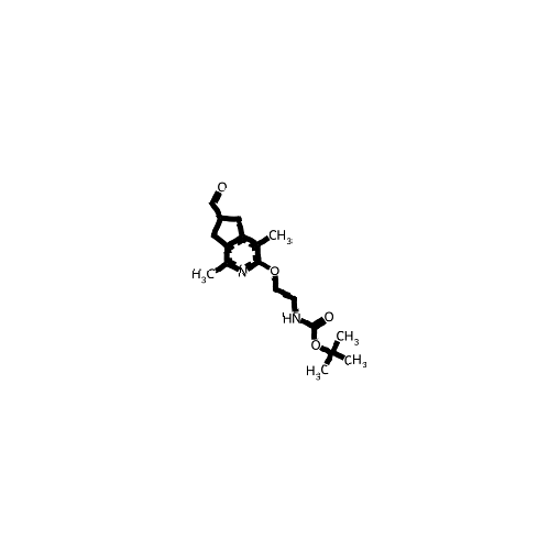 Cc1nc(OCCNC(=O)OC(C)(C)C)c(C)c2c1CC(C=O)C2